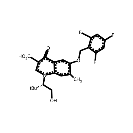 Cc1cc2c(cc1OCc1c(F)cc(F)cc1F)c(=O)c(C(=O)O)cn2[C@H](CO)C(C)(C)C